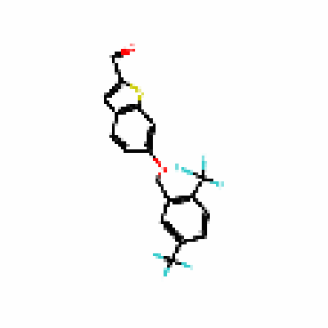 O=Cc1cc2ccc(OCc3cc(C(F)(F)F)ccc3C(F)(F)F)cc2s1